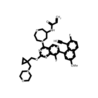 C#Cc1c(F)ccc2cc(OC)cc(-c3ncc4c(N5CCOCC(NC(=O)C=C)C5)nc(OCC5(CN6CCOCC6)CC5)nc4c3F)c12